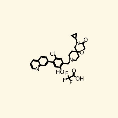 O=C(O)C(F)(F)F.O=C1COC2(CCN(Cc3cc(Cl)c(-c4ccc5cccnc5c4)cc3O)CC2)CN1C1CC1